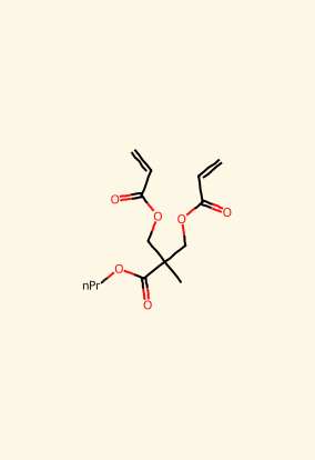 C=CC(=O)OCC(C)(COC(=O)C=C)C(=O)OCCC